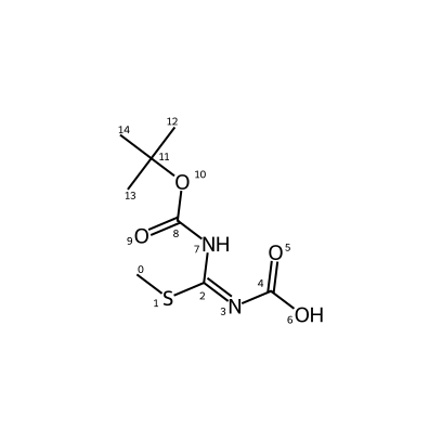 CS/C(=N/C(=O)O)NC(=O)OC(C)(C)C